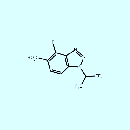 O=C(O)c1ccc2c(nnn2C(C(F)(F)F)C(F)(F)F)c1F